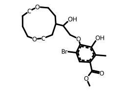 COC(=O)c1cc(Br)c(OCC(O)C2CCOCCCCOCC2)c(O)c1C